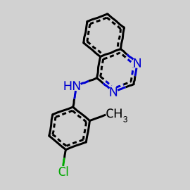 Cc1cc(Cl)ccc1Nc1ncnc2ccccc12